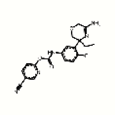 N#Cc1ccc(OC(=O)Nc2ccc(F)c(C3(CF)COCC(N)=N3)c2)nc1